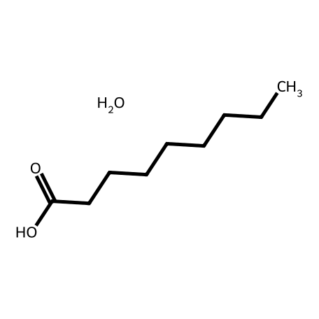 CCCCCCCCC(=O)O.O